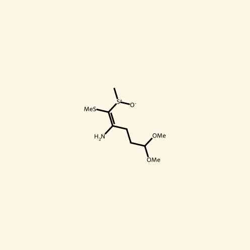 COC(CCC(N)=C(SC)[S+](C)[O-])OC